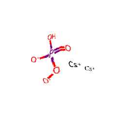 O=P([O-])(O)O[O-].[Cs+].[Cs+]